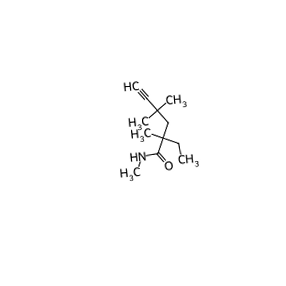 C#CC(C)(C)CC(C)(CC)C(=O)NC